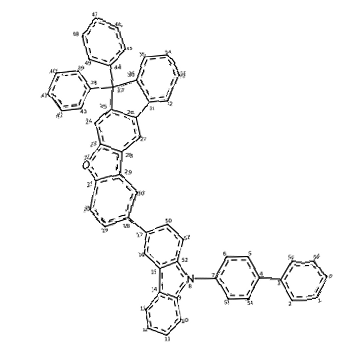 c1ccc(-c2ccc(-n3c4ccccc4c4cc(-c5ccc6oc7cc8c(cc7c6c5)-c5ccccc5C8(c5ccccc5)c5ccccc5)ccc43)cc2)cc1